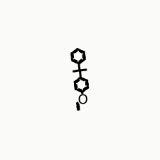 C=COc1ccc(C(C)(C)c2ccccc2)cc1